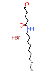 Br.CCCCCCCCCCNC(=O)CCCC=O